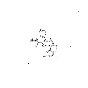 COC(=O)c1sc2c(-c3cc(F)cc(F)c3F)c(F)cnc2c1N1CCOCC1